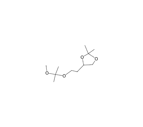 COC(C)(C)OCCC1COC(C)(C)O1